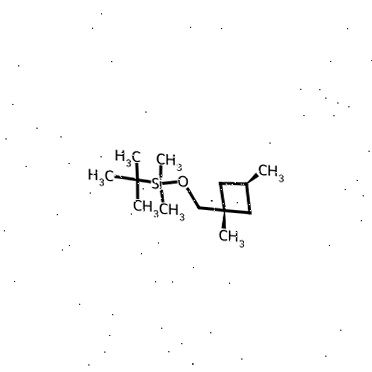 CC(C)(C)[Si](C)(C)OC[C@]1(C)C[C@@H](C)C1